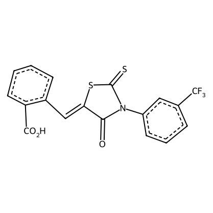 O=C(O)c1ccccc1/C=C1\SC(=S)N(c2cccc(C(F)(F)F)c2)C1=O